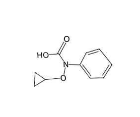 O=C(O)N(OC1CC1)c1ccccc1